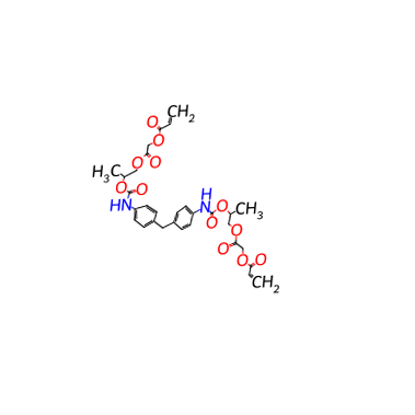 C=CC(=O)OCC(=O)OCC(C)OC(=O)Nc1ccc(Cc2ccc(NC(=O)OC(C)COC(=O)COC(=O)C=C)cc2)cc1